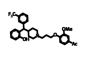 COc1cc(C(C)=O)ccc1OCCCN1CCC(C(c2cccc(C(F)(F)F)c2)c2ccccc2O)CC1